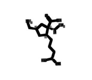 CN[C@@]1(C(=O)O)C[C@H](CN)C[C@@H]1CCCB(O)O